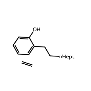 C=C.CCCCCCCCCc1ccccc1O